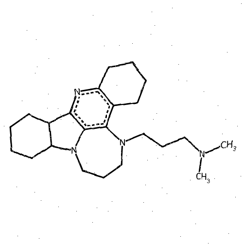 CN(C)CCCN1CCCN2c3c(nc4c(c31)CCCC4)C1CCCCC12